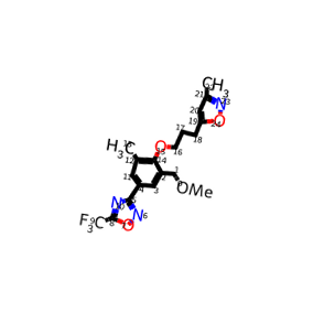 COCc1cc(-c2noc(C(F)(F)F)n2)cc(C)c1OCCCc1cc(C)no1